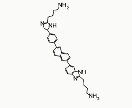 NCCCCC1=NCC(c2ccc(-c3ccc4cc(-c5ccc6nc(CCCCN)[nH]c6c5)ccc4c3)cc2)N1